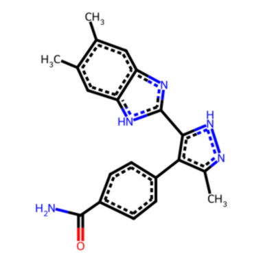 Cc1cc2nc(-c3[nH]nc(C)c3-c3ccc(C(N)=O)cc3)[nH]c2cc1C